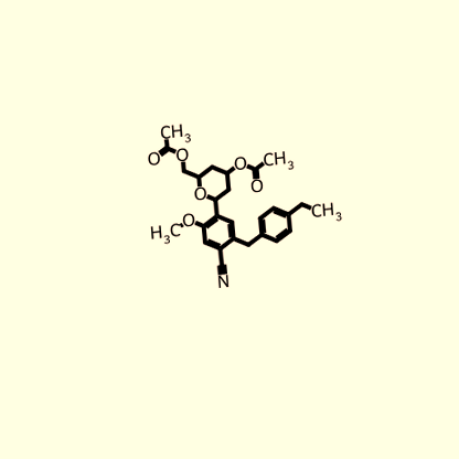 CCc1ccc(Cc2cc(C3CC(OC(C)=O)CC(COC(C)=O)O3)c(OC)cc2C#N)cc1